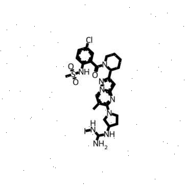 Cc1cn2nc(C3CCCCN3C(=O)c3cc(Cl)ccc3NS(C)(=O)=O)cc2nc1N1CCC(NC(N)NI)C1